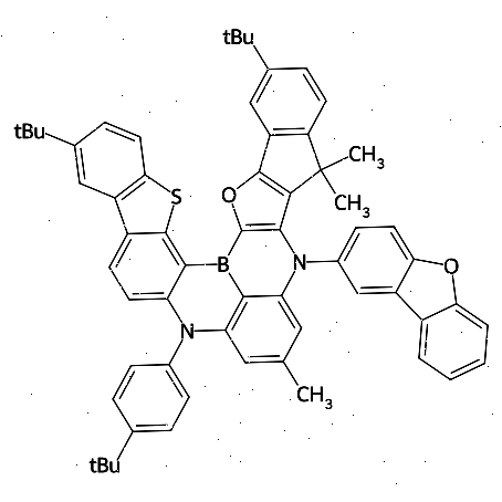 Cc1cc2c3c(c1)N(c1ccc4oc5ccccc5c4c1)c1c(oc4c1C(C)(C)c1ccc(C(C)(C)C)cc1-4)B3c1c(ccc3c1sc1ccc(C(C)(C)C)cc13)N2c1ccc(C(C)(C)C)cc1